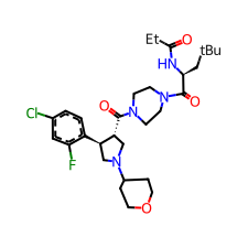 CCC(=O)N[C@@H](CC(C)(C)C)C(=O)N1CCN(C(=O)[C@@H]2CN(C3CCOCC3)C[C@H]2c2ccc(Cl)cc2F)CC1